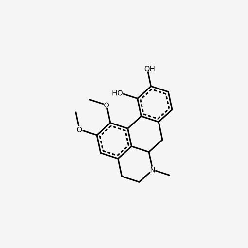 COc1cc2c3c(c1OC)-c1c(ccc(O)c1O)CC3N(C)CC2